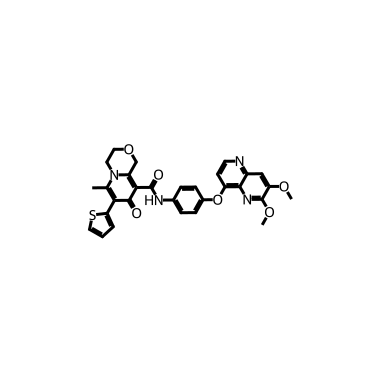 COc1cc2nccc(Oc3ccc(NC(=O)c4c5n(c(C)c(-c6cccs6)c4=O)CCOC5)cc3)c2nc1OC